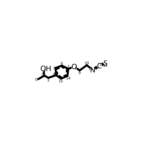 CC(O)Cc1ccc(OCCN=C=S)cc1